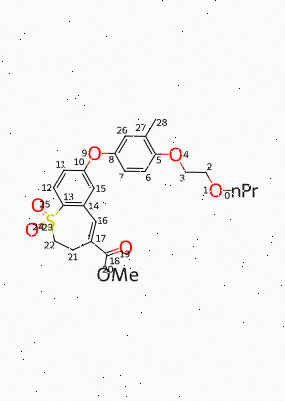 CCCOCCOc1ccc(Oc2ccc3c(c2)C=C(C(=O)OC)CCS3(=O)=O)cc1C